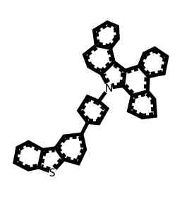 c1ccc2c(c1)ccc1c2c2c3ccccc3c3ccccc3c2n1-c1ccc(-c2ccc3sc4ccccc4c3c2)cc1